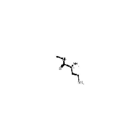 NCC[C@H](N)C(=O)NI